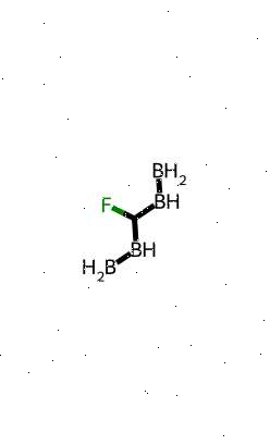 BBC(F)BB